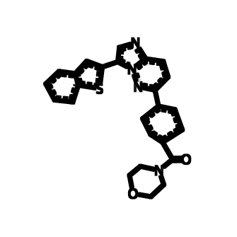 O=C(c1ccc(-c2ccc3ncc(-c4cc5ccccc5s4)n3n2)cc1)N1CCOCC1